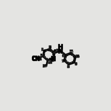 [C-]#[N+]c1ccc(Nc2ccccc2)nc1C